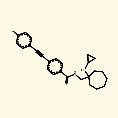 O=C(NCC1(NC2CC2)CCCCCC1)c1ccc(C#Cc2ccc(F)cc2)cc1